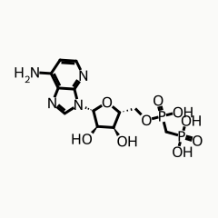 Nc1ccnc2c1ncn2[C@@H]1O[C@H](COP(=O)(O)CP(=O)(O)O)[C@@H](O)[C@H]1O